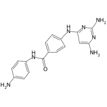 Nc1ccc(NC(=O)c2ccc(Nc3cc(N)nc(N)n3)cc2)cc1